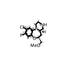 COC[C@@H]1C[C@@H]2CNCCN2c2cc(Cl)c(F)cc2O1